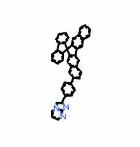 c1ccc2c(c1)-c1ccccc1C21c2cc3ccccc3cc2-c2cc3ccc(-c4ccc(-c5cn6cccnc6n5)cc4)cc3cc21